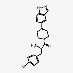 N[C@H](Cc1ccc(Cl)cc1)C(=O)N1CCN(c2ccc3[nH]ncc3c2)CC1